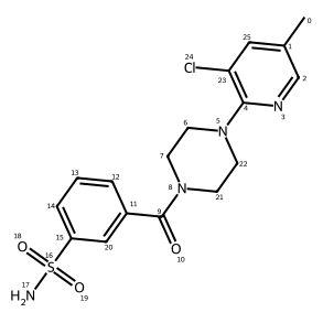 Cc1cnc(N2CCN(C(=O)c3cccc(S(N)(=O)=O)c3)CC2)c(Cl)c1